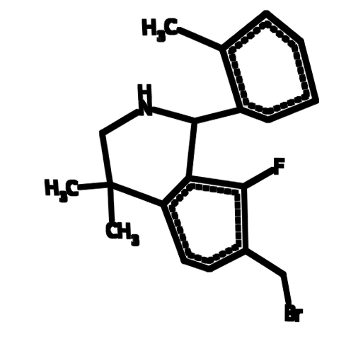 Cc1ccccc1C1NCC(C)(C)c2ccc(CBr)c(F)c21